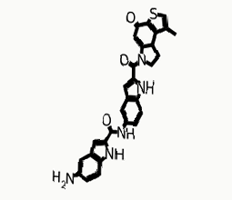 Cc1csc2c1C1CCN(C(=O)c3cc4cc(NC(=O)c5cc6cc(N)ccc6[nH]5)ccc4[nH]3)C1=CC2=O